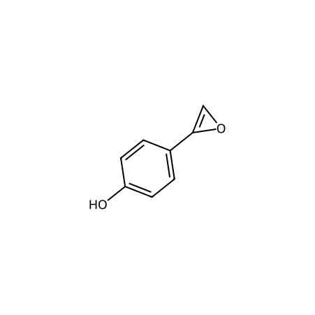 Oc1ccc(C2=CO2)cc1